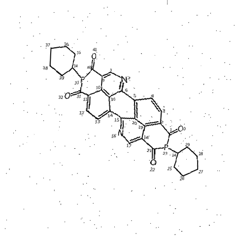 O=C1c2ccc3c4ncc5c6c(ccc(c7ncc(c2c37)C(=O)P1C1CCCCC1)c64)C(=O)P(C1CCCCC1)C5=O